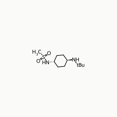 CC(C)(C)N[C@H]1CC[C@H](NS(C)(=O)=O)CC1